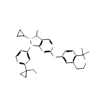 CC1(C)NCCc2cc(Nc3ncc4c(n3)N(c3ccnc(C5(CF)CC5)c3)N(C3CC3)C4O)ccc21